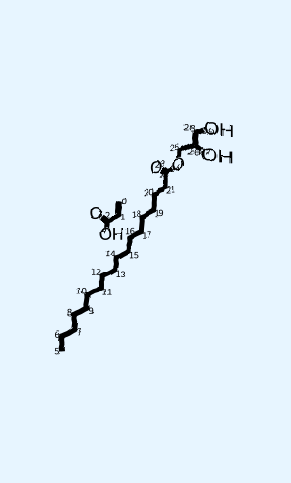 C=CC(=O)O.CCCCCCCCCCCCCCCCCC(=O)OCC(O)CO